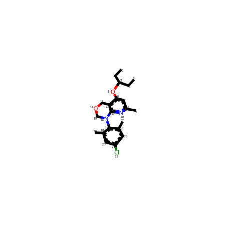 CCC(CC)Oc1cc(C)nc2c1COCN2c1c(C)cc(Cl)cc1C